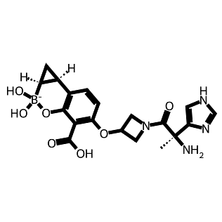 C[C@](N)(C(=O)N1CC(Oc2ccc3c(c2C(=O)O)O[B-](O)(O)[C@H]2C[C@@H]32)C1)c1c[nH]cn1